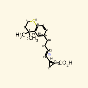 CC1(C)CCSc2ccc(CC/C=C/C3=C(C(=O)O)C3)cc21